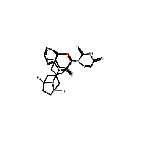 O=c1cnn(-c2nc3ccccc3n([C@@H]3C[C@H]4CC[C@@H](C3)N4C3C[C@H]4CCC[C@@H](C3)C4)c2=O)c(=O)[nH]1